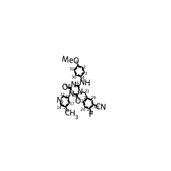 COc1ccc(Nc2nc(=O)n(-c3cncc(C)c3)c(=O)n2Cc2ccc(F)c(C#N)c2)cc1